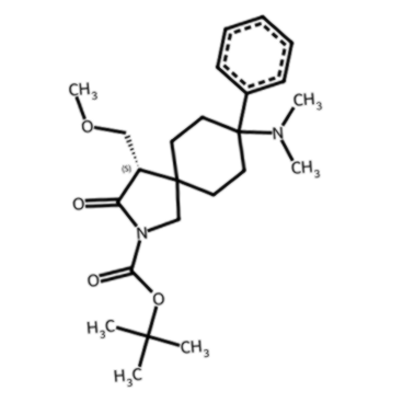 COC[C@H]1C(=O)N(C(=O)OC(C)(C)C)CC12CCC(c1ccccc1)(N(C)C)CC2